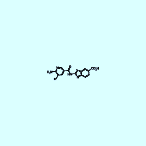 Nc1ncc(C(=O)Nc2nc3ccc(C(=O)O)cc3s2)cc1Br